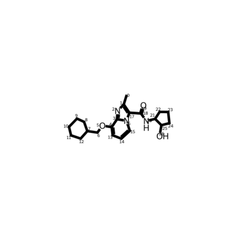 Cc1nc2c(OCC3CCCCC3)cccn2c1C(=O)NC1CCCC1O